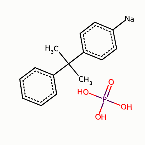 CC(C)(c1ccccc1)c1cc[c]([Na])cc1.O=P(O)(O)O